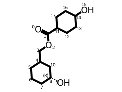 O=C(OCC1CCC[C@@H](O)C1)C1CCC(O)CC1